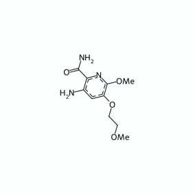 COCCOc1cc(N)c(C(N)=O)nc1OC